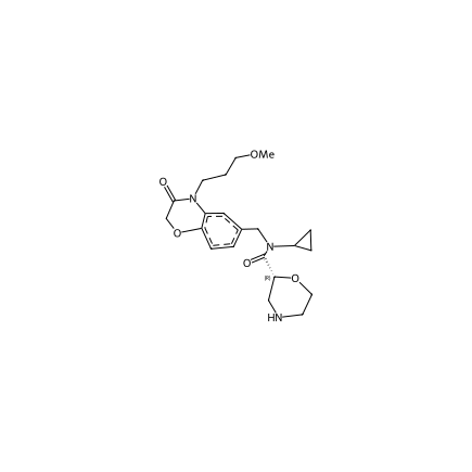 COCCCN1C(=O)COc2ccc(CN(C(=O)[C@H]3CNCCO3)C3CC3)cc21